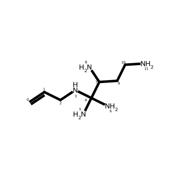 C=CCNC(N)(N)C(N)CCN